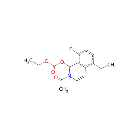 CCOC(=O)OC1c2c(F)ccc(CC)c2C=CN1C(C)=O